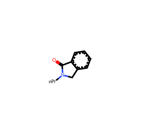 CCCN1Cc2c[c]ccc2C1=O